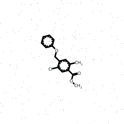 COC(=O)c1cc(Cl)c(COc2ccccc2)cc1C